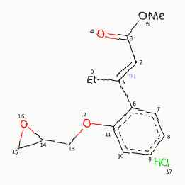 CC/C(=C\C(=O)OC)c1ccccc1OCC1CO1.Cl